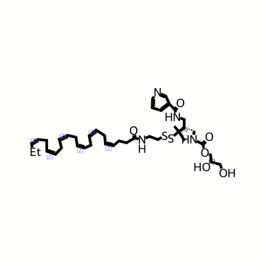 CC/C=C\C/C=C\C/C=C\C/C=C\C/C=C\C/C=C\CCC(=O)NCCSSC(C)(C)[C@@H](CNC(=O)OC[C@@H](O)CO)CNC(=O)c1cccnc1